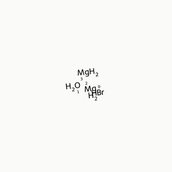 Br.O.[MgH2].[MgH2]